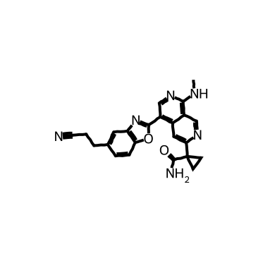 CNc1ncc(-c2nc3cc(CCC#N)ccc3o2)c2cc(C3(C(N)=O)CC3)ncc12